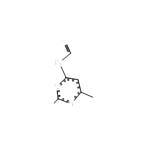 O=CNc1cc(F)nc(F)n1